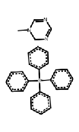 CN1C=NC=NC1.c1ccc([B-](c2ccccc2)(c2ccccc2)c2ccccc2)cc1